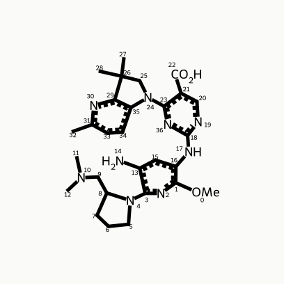 COc1nc(N2CCCC2CN(C)C)c(N)cc1Nc1ncc(C(=O)O)c(N2CC(C)(C)c3nc(C)ccc32)n1